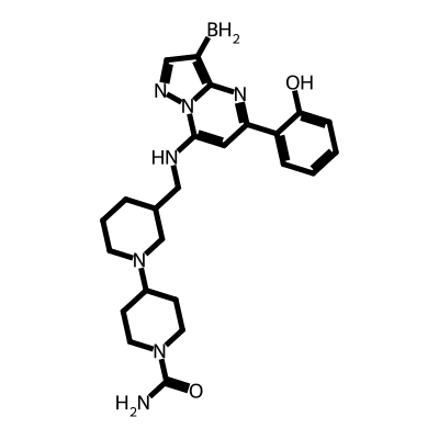 Bc1cnn2c(NCC3CCCN(C4CCN(C(N)=O)CC4)C3)cc(-c3ccccc3O)nc12